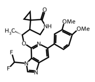 COc1ccc(-c2cc3ncn(C(F)F)c3c(O[C@H](C)C3CNC(=O)C34CC4)n2)cc1OC